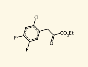 CCOC(=O)C(=O)Cc1cc(F)c(F)cc1Cl